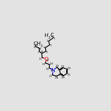 CCCCCCC(CCCC)COCCCN1CCc2ccccc2C1